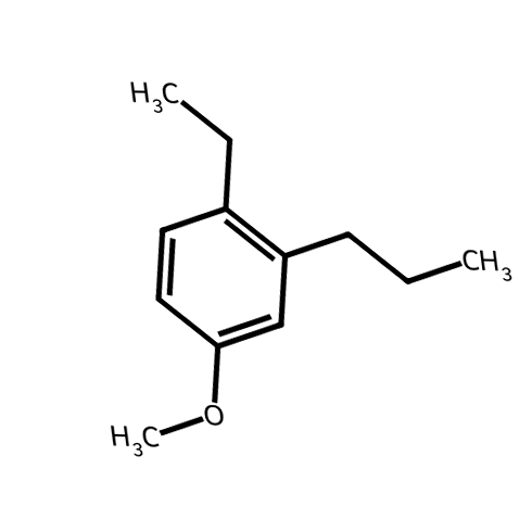 CCCc1cc(OC)ccc1CC